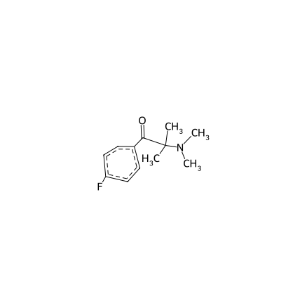 CN(C)C(C)(C)C(=O)c1ccc(F)cc1